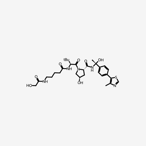 Cc1ncsc1-c1ccc([C@@](C)(O)NC(=O)[C@@H]2C[C@@H](O)CN2C(=O)[C@@H](NC(=O)CCCCNC(=O)CO)C(C)(C)C)cc1